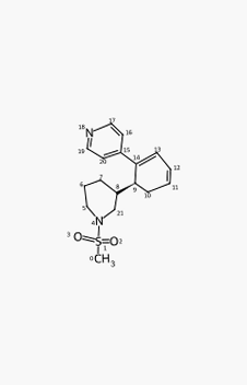 CS(=O)(=O)N1CCCC([C@@H]2CC=CC=C2c2ccncc2)C1